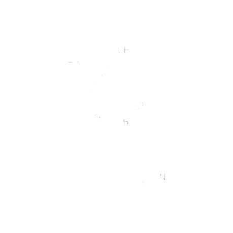 CC1(C)COB(c2cnsc2)OC1